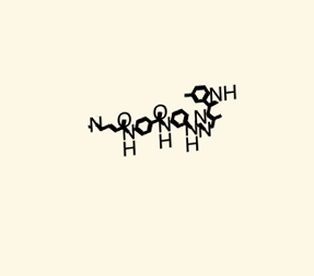 Cc1ccc2[nH]cc(-c3nc(Nc4cccc(NC(=O)c5ccc(NC(=O)/C=C/CN(C)C)cc5)c4)ncc3C)c2c1